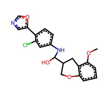 COc1cccc2c1CC(C(O)Nc1ccc(-c3cnco3)c(Cl)c1)CO2